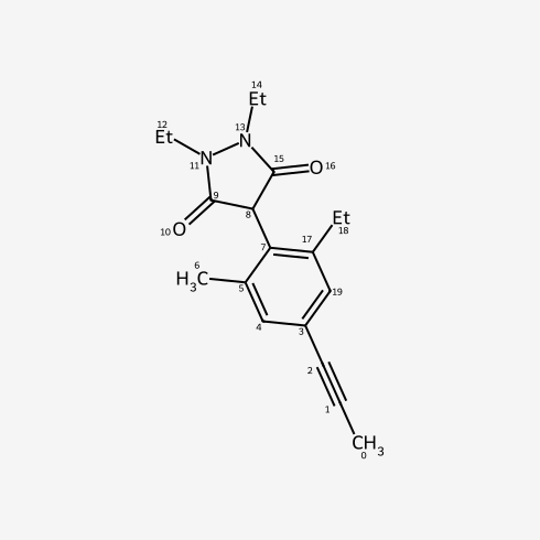 CC#Cc1cc(C)c(C2C(=O)N(CC)N(CC)C2=O)c(CC)c1